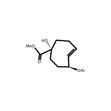 COC(=O)[C@@]1(O)CC/C=C/[C@@H](OC(C)=O)CC1